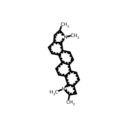 Cc1cc2ccc3c4ccc5c(ccc6cc(C)n(C)c65)c4ccc3c2n1C